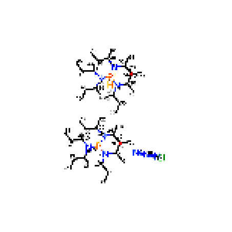 CCC(C)N(C(C)CC)P(N(C(C)CC)C(C)CC)N(C(C)CC)C(C)CC.CCC(C)N(C(C)CC)[PH+](N(C(C)CC)C(C)CC)N(C(C)CC)C(C)CC.Cl.[N-]=[N+]=[N-]